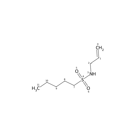 C=C[CH]NS(=O)(=O)CCCCC